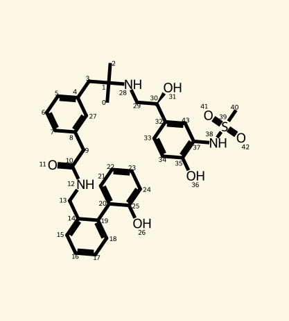 CC(C)(Cc1cccc(CC(=O)NCc2ccccc2-c2ccccc2O)c1)NC[C@@H](O)c1ccc(O)c(NS(C)(=O)=O)c1